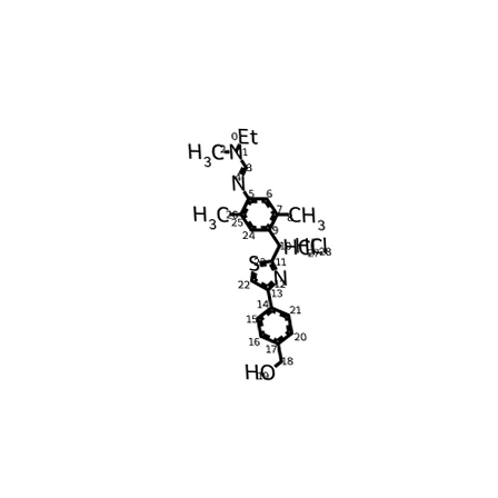 CCN(C)/C=N/c1cc(C)c(Cc2nc(-c3ccc(CO)cc3)cs2)cc1C.Cl.Cl